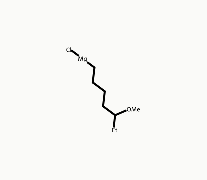 CCC(CCC[CH2][Mg][Cl])OC